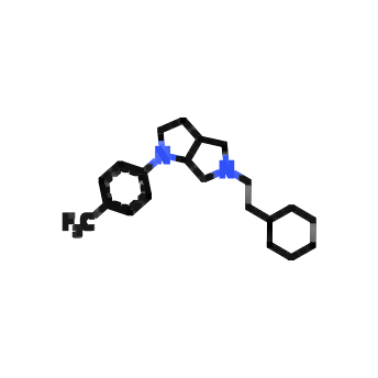 FC(F)(F)c1ccc(N2CCC3CN(CCC4CCCCC4)CC32)cc1